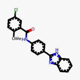 COc1ccc(Cl)cc1C(=O)Nc1ccc(-c2nc3ccccc3[nH]2)cc1